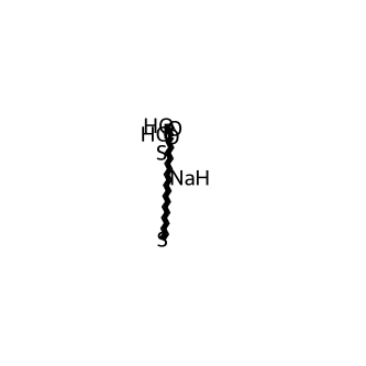 O=P(O)(O)OCCC(=S)CCCCCCCCCCCCCCC=S.[NaH]